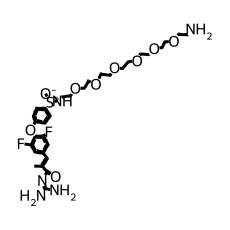 C/C(=C\c1cc(F)c(Oc2ccc([S+]([O-])NCCOCCOCCOCCOCCOCCOCCN)cc2)c(F)c1)C(=O)N=C(N)N